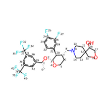 C[C@@H](O[C@H]1OCC[C@@H](CN2CCC3(CC2)COCC3O)[C@@H]1c1ccc(F)c(F)c1)c1cc(C(F)(F)F)cc(C(F)(F)F)c1